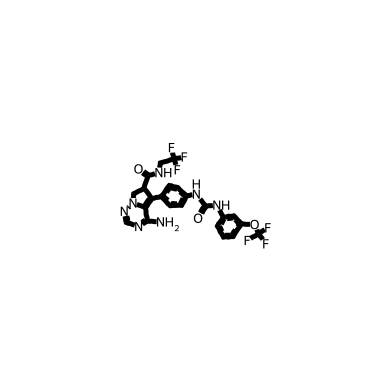 NC1=NC=NN2CC(C(=O)NCC(F)(F)F)C(c3ccc(NC(=O)Nc4cccc(OC(F)(F)F)c4)cc3)=C12